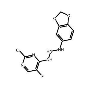 Fc1cnc(Cl)nc1NNNc1ccc2c(c1)OCO2